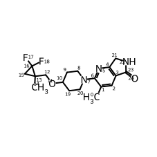 Cc1cc2c(nc1N1CCC(OCC3(C)CC3(F)F)CC1)CNC2=O